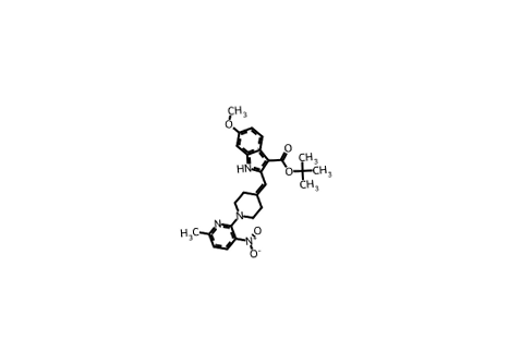 COc1ccc2c(C(=O)OC(C)(C)C)c(C=C3CCN(c4nc(C)ccc4[N+](=O)[O-])CC3)[nH]c2c1